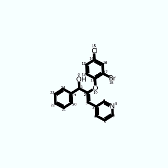 OC(C(=Cc1cccnc1)Oc1ccc(Cl)cc1Br)c1ccccc1